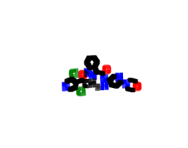 CC(On1nc(C(=O)Nc2ccc(N3CCOCC3)nc2)c2ccccc21)c1c(Cl)cncc1Cl